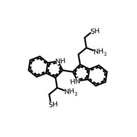 NC(CS)Cc1c(-c2[nH]c3ccccc3c2C(N)CS)[nH]c2ccccc12